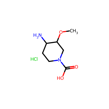 COC1CN(C(=O)O)CCC1N.Cl